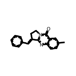 Cc1ccc2nc3n(c(=O)c2c1)CCC3=Cc1ccccc1